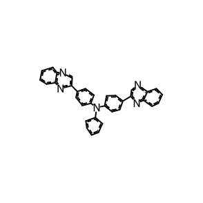 c1ccc(N(c2ccc(-c3cnc4ccccc4n3)cc2)c2ccc(-c3cnc4ccccc4n3)cc2)cc1